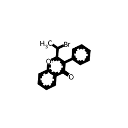 CC(Br)c1oc2ccccc2c(=O)c1-c1ccccc1